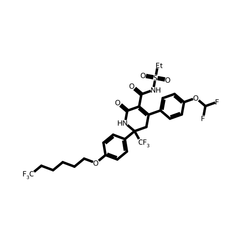 CCS(=O)(=O)NC(=O)C1=C(c2ccc(OC(F)F)cc2)CC(c2ccc(OCCCCCC(F)(F)F)cc2)(C(F)(F)F)NC1=O